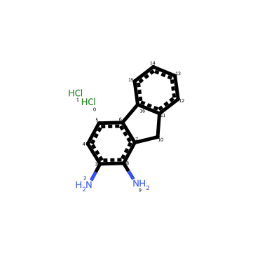 Cl.Cl.Nc1ccc2c(c1N)Cc1ccccc1-2